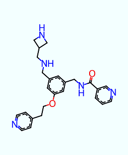 O=C(NCc1cc(CNCC2CNC2)cc(OCCc2ccncc2)c1)c1cccnc1